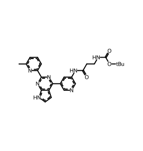 Cc1cccc(-c2nc(-c3cncc(NC(=O)CCNC(=O)OC(C)(C)C)c3)c3cc[nH]c3n2)n1